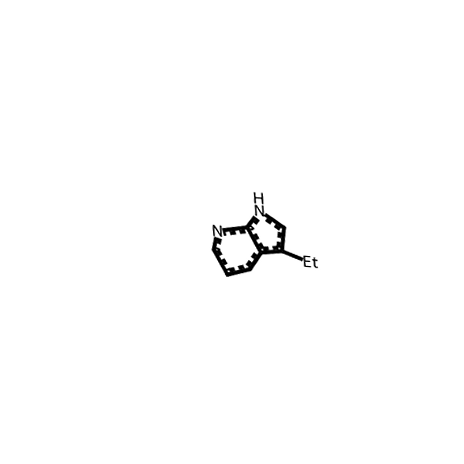 [C]Cc1c[nH]c2ncccc12